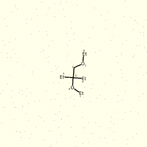 CCOCC(CC)(CC)OCC